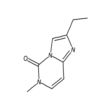 CCc1cn2c(=O)n(C)ccc2n1